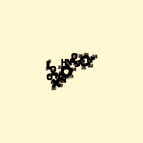 CCOC(=O)n1c(C(C)(C)C)nc2ccc(NC(=O)SN3CCN(C)CC3)cc21